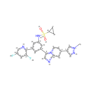 Cn1cc(-c2ccn3c(-c4cc(NS(=O)(=O)C5CC5)cc(-c5ncc(F)cc5F)c4)cnc3c2)cn1